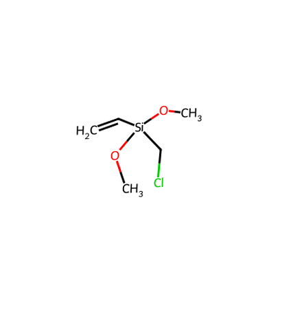 C=C[Si](CCl)(OC)OC